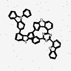 c1ccc(-c2nc(-c3cccc4c3oc3ccccc34)nc(-c3cccc4oc5ccc(-c6ccc7sc8cccc(-c9ccc%10c(c9)c9ccccc9n%10-c9ccccc9)c8c7c6)cc5c34)n2)cc1